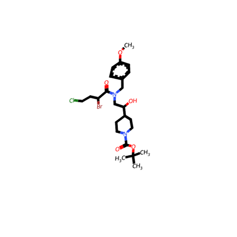 COc1ccc(CN(CC(O)C2CCN(C(=O)OC(C)(C)C)CC2)C(=O)C(Br)CCCl)cc1